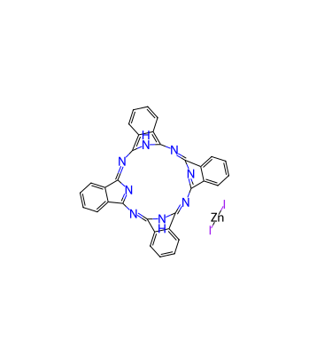 [I][Zn][I].c1ccc2c(c1)-c1nc-2nc2[nH]c(nc3nc(nc4[nH]c(n1)c1ccccc41)-c1ccccc1-3)c1ccccc21